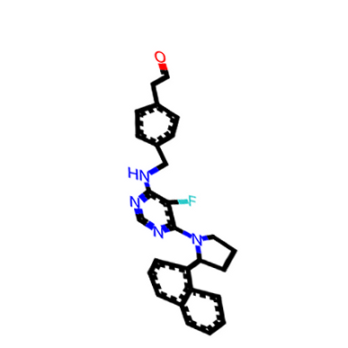 O=CCc1ccc(CNc2ncnc(N3CCCC3c3cccc4ccccc34)c2F)cc1